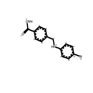 COC(=O)c1ccc(CNc2ccc(Br)cc2)cc1